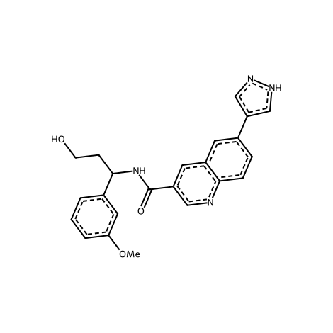 COc1cccc(C(CCO)NC(=O)c2cnc3ccc(-c4cn[nH]c4)cc3c2)c1